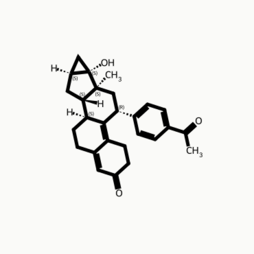 CC(=O)c1ccc([C@H]2C[C@@]3(C)[C@@H](C[C@H]4C[C@]43O)[C@@H]3CCC4=CC(=O)CCC4=C32)cc1